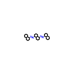 c1ccc2c(N=Nc3cccc4c(N=Nc5cccc6ccccc56)cccc34)cccc2c1